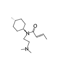 C/C=C/C(=O)N(CCN(C)C)[C@H]1CC[C@H](C)CC1